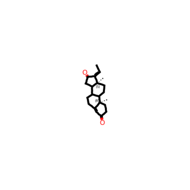 CC=C1C(=O)CC2C3CCC4=CC(=O)CC[C@]4(C)C3CC[C@]12C